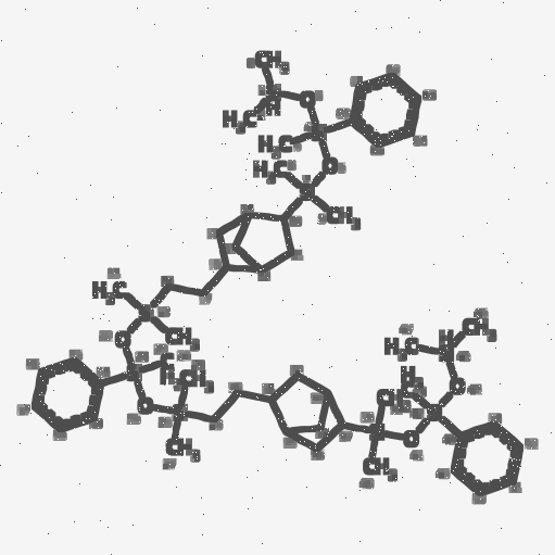 C[SiH](C)O[Si](C)(O[Si](C)(C)C1CC2CC1CC2CC[Si](C)(C)O[Si](C)(O[Si](C)(C)CCC1CC2CC1CC2[Si](C)(C)O[Si](C)(O[SiH](C)C)c1ccccc1)c1ccccc1)c1ccccc1